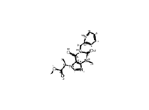 COC(=O)C(C)n1cnc2c1c(=O)n(Cc1ccccn1)c(=O)n2C